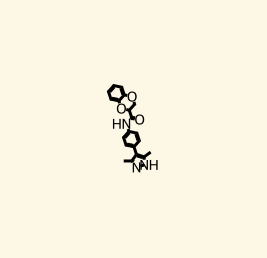 Cc1n[nH]c(C)c1-c1ccc(NC(=O)C2COc3ccccc3O2)cc1